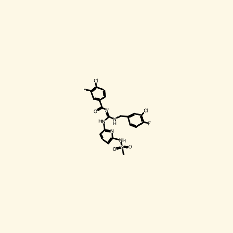 CS(=O)(=O)Nc1cccc(N/C(=N\C(=O)c2ccc(Cl)c(F)c2)NCc2ccc(F)c(Cl)c2)n1